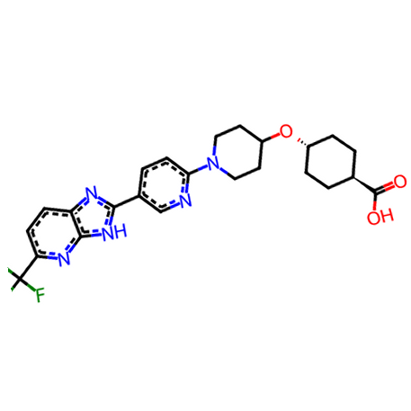 O=C(O)[C@H]1CC[C@H](OC2CCN(c3ccc(-c4nc5ccc(C(F)(F)F)nc5[nH]4)cn3)CC2)CC1